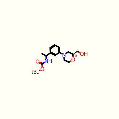 CC(NC(=O)OC(C)(C)C)c1cccc(N2CCO[C@H](CO)C2)c1